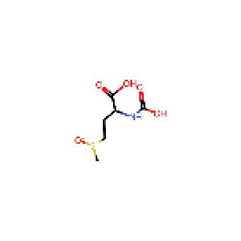 C[S+]([O-])CCC(NC(=O)O)C(=O)O